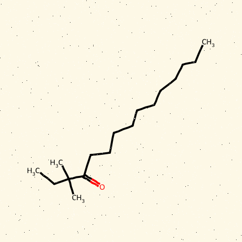 CCCCCCCCCCCC(=O)C(C)(C)CC